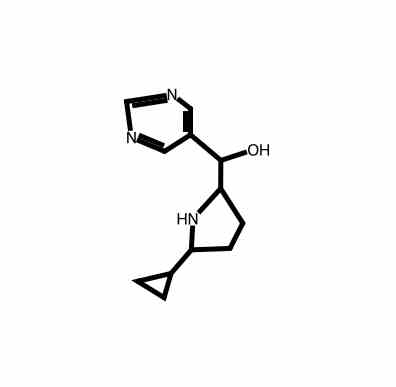 OC(c1cncnc1)C1CCC(C2CC2)N1